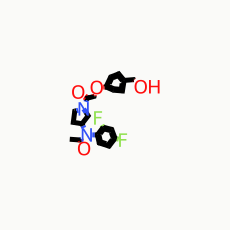 CC(=O)N(c1ccc(F)cc1F)C1CCN(C(=O)COc2ccc(CO)cc2)C1